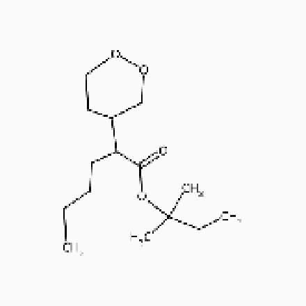 CCCCC(C(=O)OC(C)(C)CC)C1CCOOC1